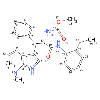 C=Nc1[nH]cc(C(c2ccccc2)[C@H](NC(=O)OC)C(=O)Nc2ccccc2CC)c1/C=C\C